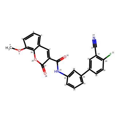 COc1cccc2cc(C(=O)Nc3cccc(-c4ccc(F)c(C#N)c4)c3)c(=O)oc12